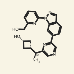 N[C@H](c1cncc(-c2ccc3cnn(-c4cccc(CO)n4)c3c2)n1)[C@H]1C[C@@H](O)C1